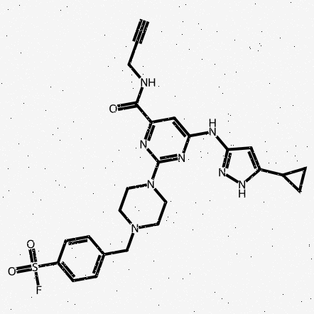 C#CCNC(=O)c1cc(Nc2cc(C3CC3)[nH]n2)nc(N2CCN(Cc3ccc(S(=O)(=O)F)cc3)CC2)n1